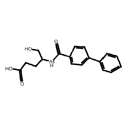 O=C(O)CCC(CO)[AsH]C(=O)c1ccc(-c2ccccc2)cc1